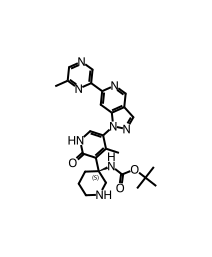 Cc1cncc(-c2cc3c(cn2)cnn3-c2c[nH]c(=O)c([C@@]3(NC(=O)OC(C)(C)C)CCCNC3)c2C)n1